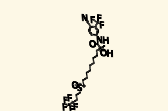 C[C@@](O)(CCCCCCCCCC[S+]([O-])CCCC(F)(F)C(F)(F)F)C(=O)Nc1ccc(C#N)c(C(F)(F)F)c1